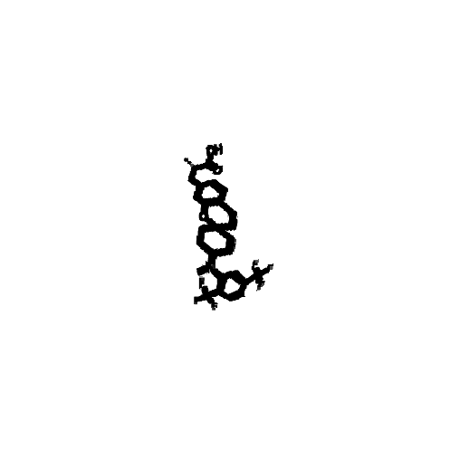 C[C@@H](Cc1ccc2c(c1)OC1(CC2)CCC(N(C)c2cc(C(F)(F)F)ccc2C(F)(F)F)CC1)C(=O)O